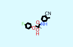 Cc1cc(NC(=O)[C@@](C)(O)COc2ccc(F)cc2)ccc1C#N